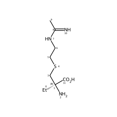 CC[C@](N)(CSCCNC(C)=N)C(=O)O